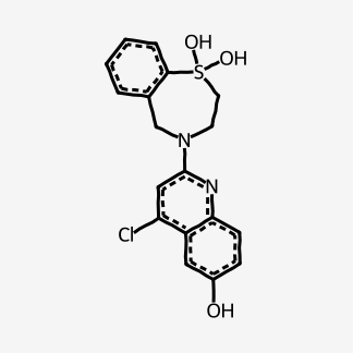 Oc1ccc2nc(N3CCS(O)(O)c4ccccc4C3)cc(Cl)c2c1